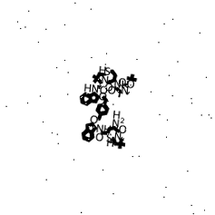 C[C@@H](C(=O)N[C@H]1CCS[C@H]2CC(C)(C)[C@@H](C(=O)N[C@H]3c4ccccc4C[C@H]3OCc3ccc(CO[C@@H]4Cc5ccccc5[C@@H]4NC(=O)C4C[C@H](N)C(=O)N5CC(C)(C)C[C@@H]5S4)cc3)N2C1=O)N(C)C(=O)OC(C)(C)C